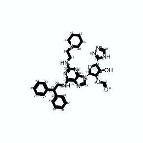 O=CO[C@@H]1[C@H](O)[C@@H](c2nnc[nH]2)O[C@H]1n1cnc2c(NCC(c3ccccc3)c3ccccc3)nc(NCCN3CCCCC3)nc21